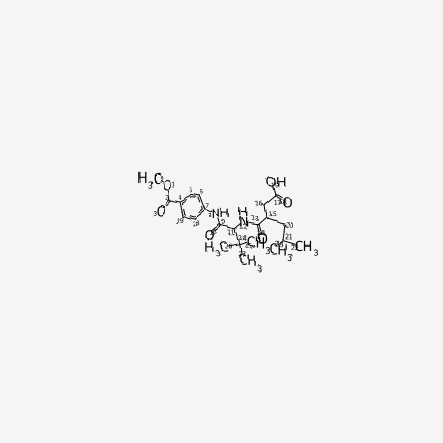 COC(=O)c1ccc(NC(=O)C(NC(=O)C(CC(=O)O)CC(C)C)C(C)(C)C)cc1